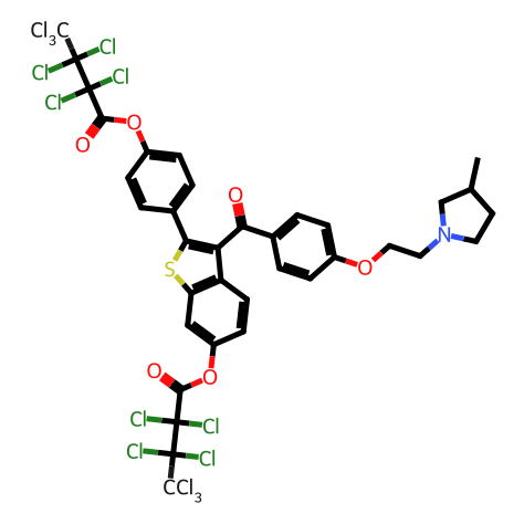 CC1CCN(CCOc2ccc(C(=O)c3c(-c4ccc(OC(=O)C(Cl)(Cl)C(Cl)(Cl)C(Cl)(Cl)Cl)cc4)sc4cc(OC(=O)C(Cl)(Cl)C(Cl)(Cl)C(Cl)(Cl)Cl)ccc34)cc2)C1